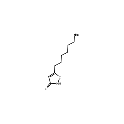 CC(C)(C)CCCCCCc1cc(=O)[nH]o1